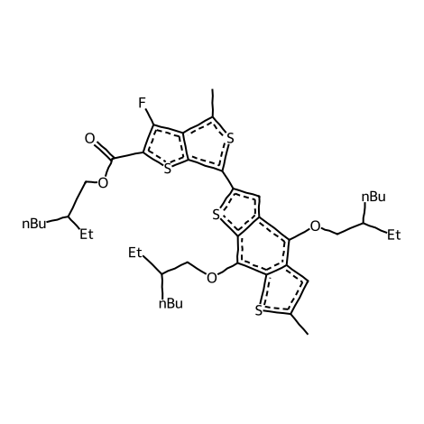 CCCCC(CC)COC(=O)c1sc2c(-c3cc4c(OCC(CC)CCCC)c5cc(C)sc5c(OCC(CC)CCCC)c4s3)sc(C)c2c1F